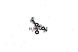 COC(=O)COc1ccc(C(=O)N(Cc2cccc(C(F)(F)F)c2)[C@@H](C(N)=O)c2ccccc2)cc1